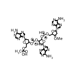 CO[C@@H]1C[C@H](n2cnc3c(N)ncnc32)OC1COP(=O)(O)OC1O[C@@H](n2cnc3c(N)ncnc32)C[C@H]1OP(=O)(O)O[C@@H]1C[C@H](n2cnc3c(N)ncnc32)OC1COP(C)(=O)O